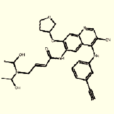 C#Cc1cccc(Nc2c(C#N)cnc3cc(OC4CCOC4)c(NC(=O)/C=C/CN(C(C)O)C(C)O)cc23)c1